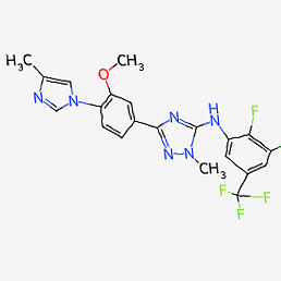 COc1cc(-c2nc(Nc3cc(C(F)(F)F)cc(Cl)c3F)n(C)n2)ccc1-n1cnc(C)c1